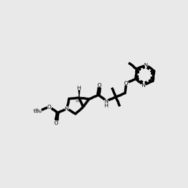 Cc1nccnc1OCC(C)(C)NC(=O)C1C2CN(C(=O)OC(C)(C)C)C[C@@H]21